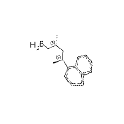 BC[C@H](C)C[C@H](C)c1cccc2ccccc12